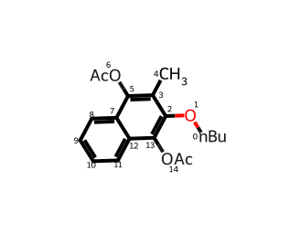 CCCCOc1c(C)c(OC(C)=O)c2ccccc2c1OC(C)=O